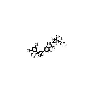 Cc1cc(C2=NOC(c3cc(Cl)cc(Cl)c3)(C(F)(F)F)C2)ccc1C(=O)Nc1nc(C(F)(F)F)n(CC(F)(F)F)n1